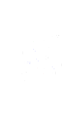 CCc1nc(-c2ccc(OC)cc2Cl)c(CC)nc1N[C@H]1c2ccccc2C[C@@H]1OC(=O)CN(C)C